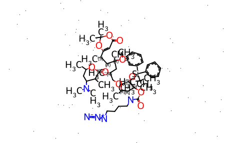 CC[C@@H](O[Si](c1ccccc1)(c1ccccc1)C(C)(C)C)[C@@]1(C)OC(=O)N(CCCCN=[N+]=[N-])[C@@H]1[C@@H](C)OC[C@H](C)C[C@@](C)(OC)[C@H](O[C@@H]1OC(C)CC(N(C)C)C1C)[C@H](C)C1=CC(=O)OC(C)(C)O1